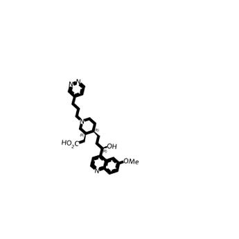 COc1ccc2nccc([C@H](O)CC[C@@H]3CCN(CCCc4ccnnc4)C[C@@H]3CC(=O)O)c2c1